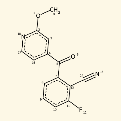 COc1cc(C(=O)c2cccc(F)c2C#N)ccn1